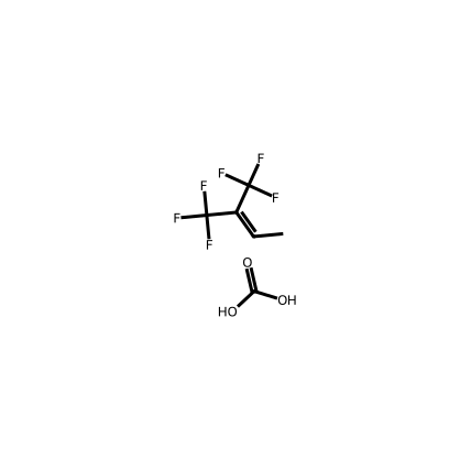 CC=C(C(F)(F)F)C(F)(F)F.O=C(O)O